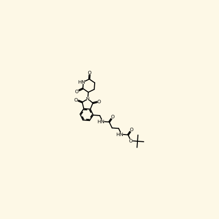 CC(C)(C)OC(=O)NCCC(=O)NCc1cccc2c1C(=O)N(C1CCC(=O)NC1=O)C2=O